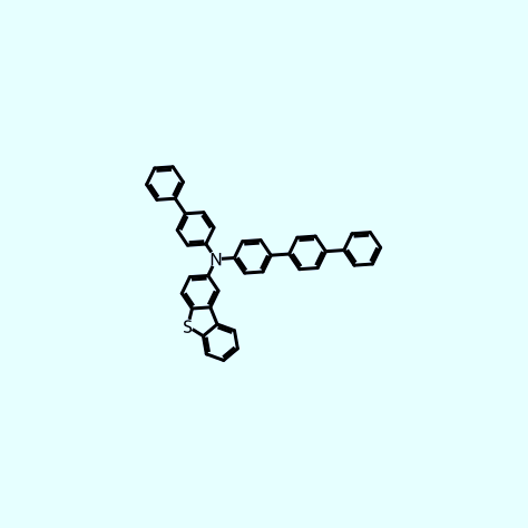 c1ccc(-c2ccc(-c3ccc(N(c4ccc(-c5ccccc5)cc4)c4ccc5sc6ccccc6c5c4)cc3)cc2)cc1